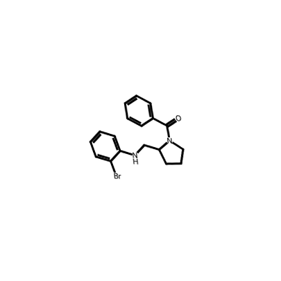 O=C(c1ccccc1)N1CCCC1CNc1ccccc1Br